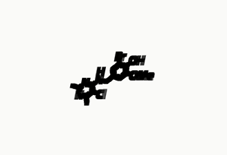 COc1cc(CNc2nc(C)nc(C)c2Cl)cc(Br)c1O